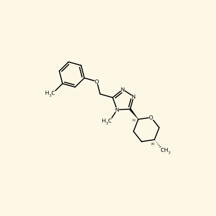 Cc1cccc(OCc2nnc([C@@H]3CC[C@@H](C)CO3)n2C)c1